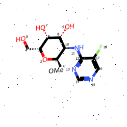 CO[C@H]1O[C@H](CO)[C@H](O)[C@H](O)[C@H]1Nc1ncncc1F